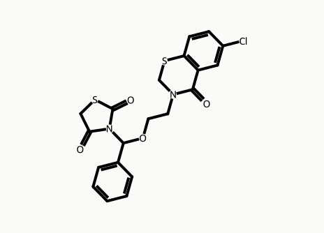 O=C1c2cc(Cl)ccc2SCN1CCOC(c1ccccc1)N1C(=O)CSC1=O